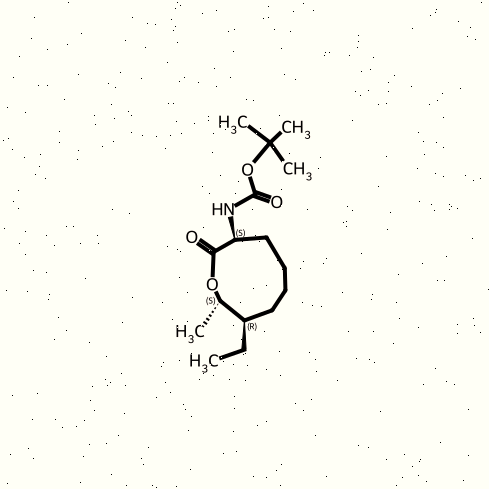 CC[C@@H]1CCCC[C@H](NC(=O)OC(C)(C)C)C(=O)O[C@H]1C